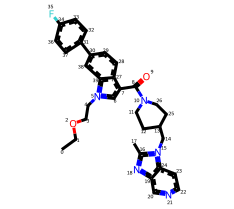 CCOCCn1cc(C(=O)N2CCC(Cn3c(C)nc4cnccc43)CC2)c2ccc(-c3ccc(F)cc3)cc21